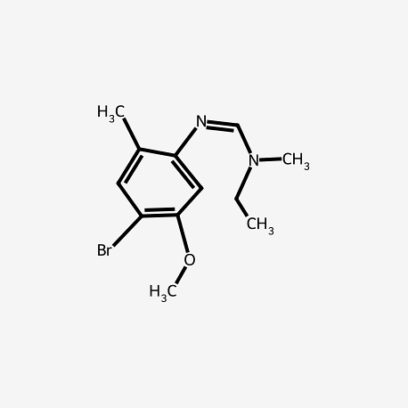 CCN(C)/C=N\c1cc(OC)c(Br)cc1C